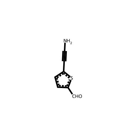 NC#Cc1ccc(C=O)s1